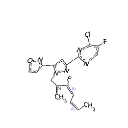 C/C=C\C=C(\F)[C@@H](C)Cn1nc(-c2ncc(F)c(Cl)n2)cc1-c1ccon1